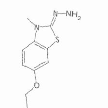 CCOc1ccc2c(c1)sc(=NN)n2C